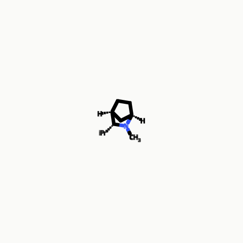 CC(C)[C@@H]1[C@H]2CC[C@H](C2)N1C